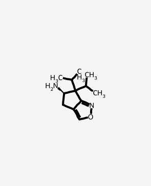 CC(C)C1(C(C)C)c2nocc2C[C@H]1N